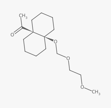 COCCOCO[C@]12CCCC[C@@]1(C(C)=O)CCCC2